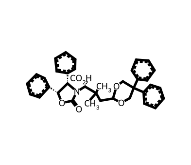 CC(C)(CC1OCC(c2ccccc2)(c2ccccc2)CO1)[C@@H](C(=O)O)N1C(=O)O[C@H](c2ccccc2)[C@@H]1c1ccccc1